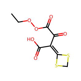 CCOOC(=O)C(=O)C(C(=O)O)=C1SCS1